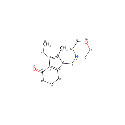 CCC1=C(C)C(CN2CCOCC2)C2=C1C(=O)CCC2